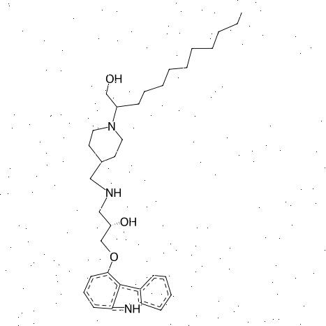 CCCCCCCCCCC(CO)N1CCC(CNC[C@H](O)COc2cccc3[nH]c4ccccc4c23)CC1